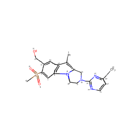 CC(C)c1c2n(c3cc(S(C)(=O)=O)c(CO)cc13)CCN(c1nccc(C(F)(F)F)n1)C2